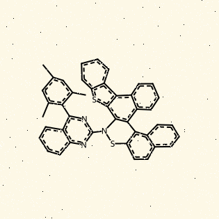 Cc1cc(C)c(-c2nc(N3Sc4ccc5ccccc5c4-c4c3c3sc5ccccc5c3c3ccccc43)nc3ccccc23)c(C)c1